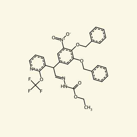 CCOC(=O)NN=CC(c1cc(OCc2ccccc2)c(OCc2ccccc2)c([N+](=O)[O-])c1)c1cccnc1OC(F)(F)F